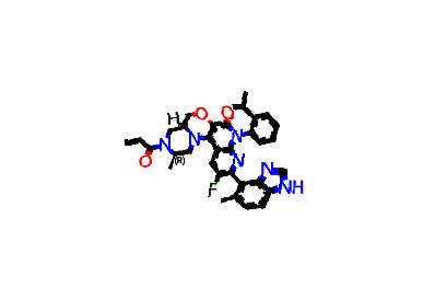 C=CC(=O)N1C[C@@H]2COc3c(c4cc(F)c(-c5c(C)ccc6[nH]cnc56)nc4n(-c4ccccc4C(C)C)c3=O)N2C[C@H]1C